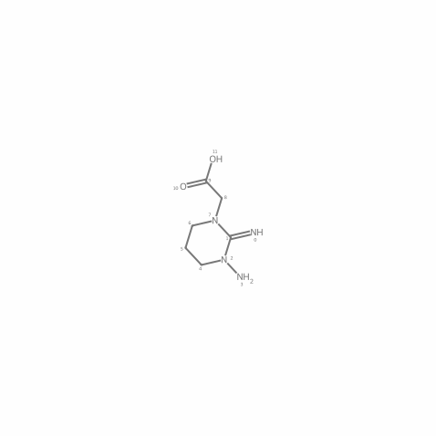 N=C1N(N)CCCN1CC(=O)O